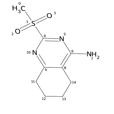 CS(=O)(=O)c1nc(N)c2c(n1)CCCC2